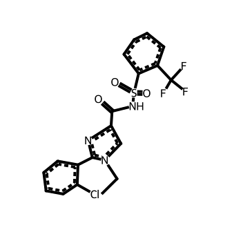 CCn1cc(C(=O)NS(=O)(=O)c2ccccc2C(F)(F)F)nc1-c1ccccc1Cl